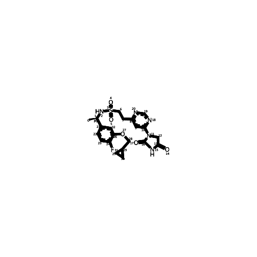 C[C@@H](NS(=O)(=O)CCc1cc(N2CC(=O)NC2=O)ncn1)c1ccc(F)c(OCC2CC2)c1